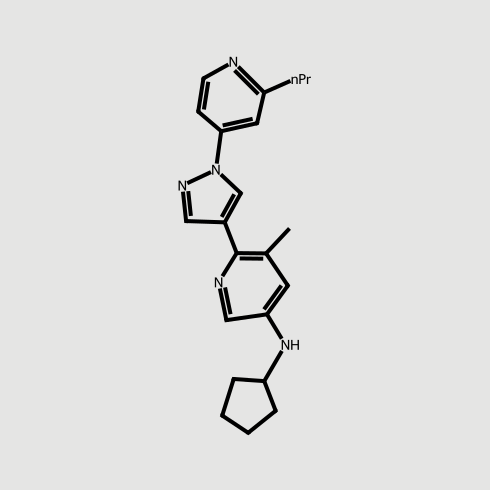 CCCc1cc(-n2cc(-c3ncc(NC4CCCC4)cc3C)cn2)ccn1